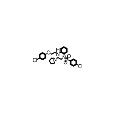 O=S(=O)(c1ccc(Cl)cc1)N(CCN1CCCC1)c1ccccc1NCCOc1ccc(Cl)cc1